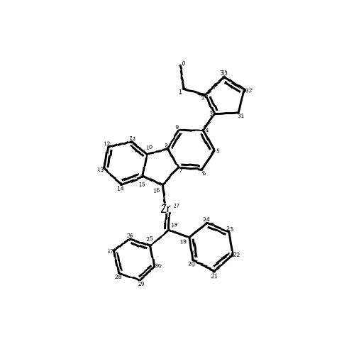 CCC1=C(c2ccc3c(c2)-c2ccccc2[CH]3[Zr]=[C](c2ccccc2)c2ccccc2)CC=C1